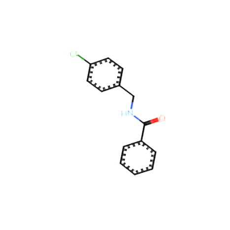 O=C(NCc1ccc(Cl)cc1)c1c[c][c]cc1